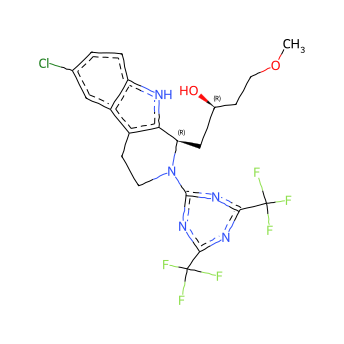 COCC[C@H](O)C[C@@H]1c2[nH]c3ccc(Cl)cc3c2CCN1c1nc(C(F)(F)F)nc(C(F)(F)F)n1